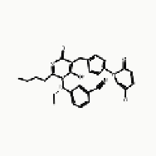 CCCCc1nc(=O)c(Cc2ccc(-n3cc(Cl)ccc3=O)cc2)c(O)n1[C@@H](CC)c1cccc(C#N)c1